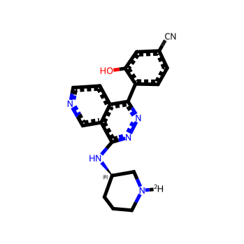 [2H]N1CCC[C@@H](Nc2nnc(-c3ccc(C#N)cc3O)c3ccncc23)C1